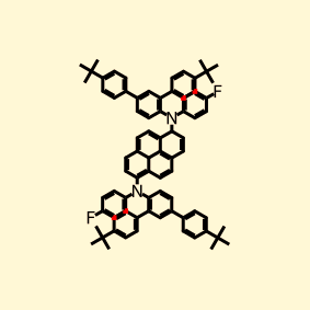 CC(C)(C)c1ccc(-c2ccc(N(C3=C4C=CC5=C6C(=CC=C(C=C3)C46)C(N(c3ccc(F)cc3)c3ccc(-c4ccc(C(C)(C)C)cc4)cc3-c3ccc(C(C)(C)C)cc3)C=C5)c3ccc(F)cc3)c(-c3ccc(C(C)(C)C)cc3)c2)cc1